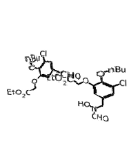 CCCCOc1c(Cl)cc(C=O)cc1OCC(=O)OCC.CCCCOc1c(Cl)cc(CN(O)C=O)cc1OCC(=O)OCC